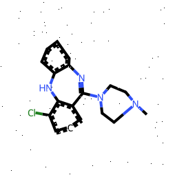 CN1CCN(C2=Nc3ccccc3Nc3c(Cl)cccc32)CC1